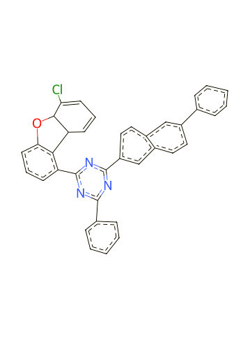 ClC1=CC=CC2c3c(cccc3-c3nc(-c4ccccc4)nc(-c4ccc5cc(-c6ccccc6)ccc5c4)n3)OC12